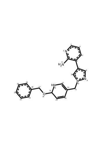 Nc1ncccc1-c1cnn(CC2=CNC(OCc3ccccc3)C=C2)c1